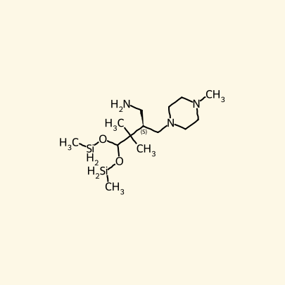 C[SiH2]OC(O[SiH2]C)C(C)(C)[C@@H](CN)CN1CCN(C)CC1